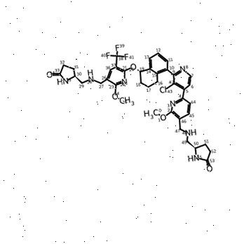 COc1nc(-c2ccnc(-c3cccc4c3CCC[C@@H]4Oc3nc(OC)c(CNC[C@@H]4CCC(=O)N4)cc3C(F)(F)F)c2Cl)ccc1CNC[C@H]1CCC(=O)N1